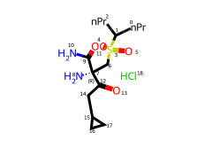 CCCC(CCC)S(=O)(=O)C[C@](N)(C(N)=O)C(=O)CC1CC1.Cl